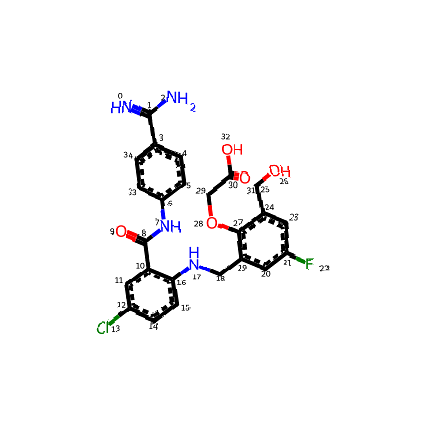 N=C(N)c1ccc(NC(=O)c2cc(Cl)ccc2NCc2cc(F)cc(CO)c2OCC(=O)O)cc1